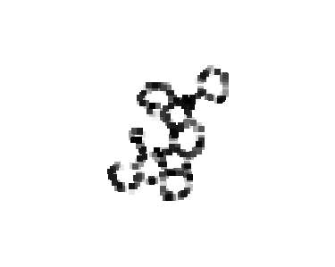 O=c1c2ccccc2c2cccc3c4ccc5c(c6ccccc6n5-c5ccccc5)c4n1c23